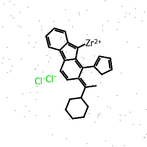 CC(=c1ccc2c(c1C1=CC=CC1)[C]([Zr+2])=c1ccccc1=2)C1CCCCC1.[Cl-].[Cl-]